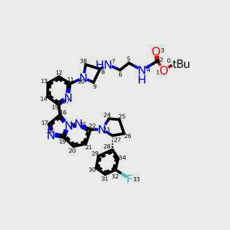 CC(C)(C)OC(=O)NCCNC1CN(c2cccc(-c3cnc4ccc(N5CCC[C@@H]5c5cccc(F)c5)nn34)n2)C1